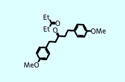 CCC(=O)CC.COc1ccc(CCC(=O)CCc2ccc(OC)cc2)cc1